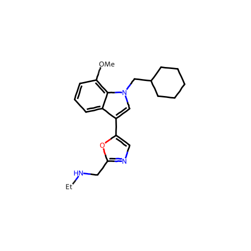 CCNCc1ncc(-c2cn(CC3CCCCC3)c3c(OC)cccc23)o1